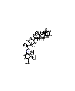 CSc1ccc(/C=C/C(=O)N2CCC(C(=O)N[C@@H](Cc3ccccn3)C(=O)O)CC2)c(Cl)c1Cl